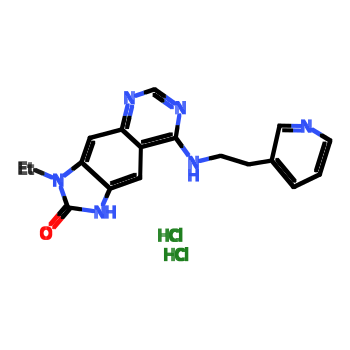 CCn1c(=O)[nH]c2cc3c(NCCc4cccnc4)ncnc3cc21.Cl.Cl